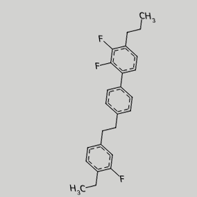 CCCc1ccc(-c2ccc(CCc3ccc(CC)c(F)c3)cc2)c(F)c1F